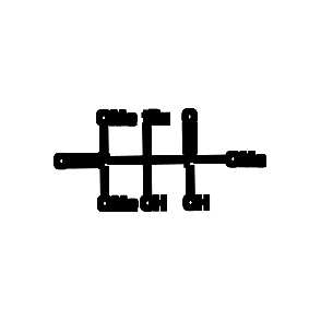 COP(=O)(O)C(O)(C(C)(C)C)P(=O)(OC)OC